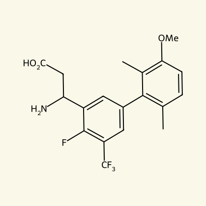 COc1ccc(C)c(-c2cc(C(N)CC(=O)O)c(F)c(C(F)(F)F)c2)c1C